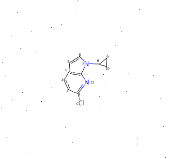 Clc1ccc2ccn(C3CC3)c2n1